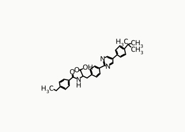 CCc1ccc(C(=O)NC(Cc2ccc(-c3ncc(-c4ccc(C(C)(C)C)cc4)cn3)cc2)C(=O)O)cc1